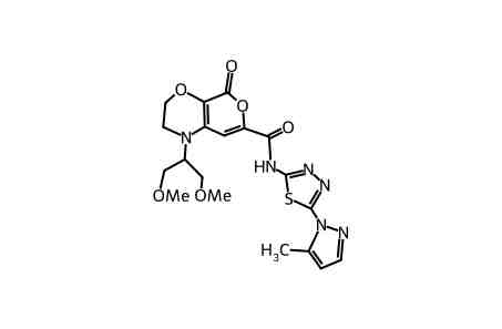 COCC(COC)N1CCOc2c1cc(C(=O)Nc1nnc(-n3nccc3C)s1)oc2=O